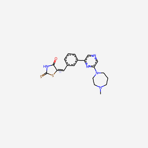 CN1CCCN(c2cncc(-c3cccc(/C=C4/SC(=S)NC4=O)c3)n2)CC1